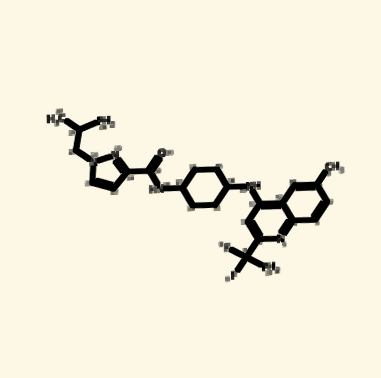 Cc1ccc2nc(C(F)(F)P)cc(NC3CCC(NC(=O)c4ccn(CC(C)P)n4)CC3)c2c1